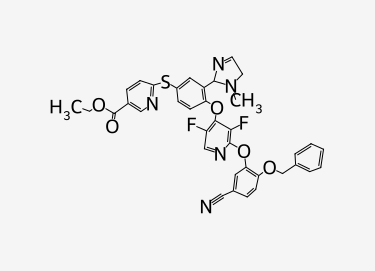 CCOC(=O)c1ccc(Sc2ccc(Oc3c(F)cnc(Oc4cc(C#N)ccc4OCc4ccccc4)c3F)c(C3N=CCN3C)c2)nc1